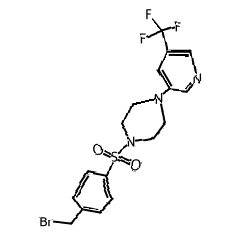 O=S(=O)(c1ccc(CBr)cc1)N1CCN(c2cncc(C(F)(F)F)c2)CC1